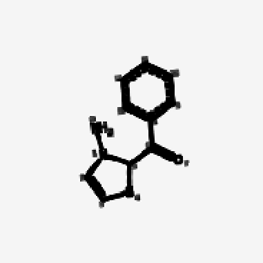 NN1C=CSC1C(=O)c1ccccc1